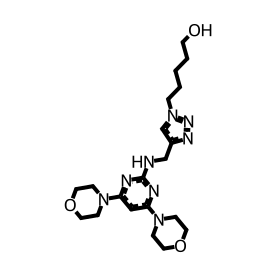 OCCCCCn1cc(CNc2nc(N3CCOCC3)cc(N3CCOCC3)n2)nn1